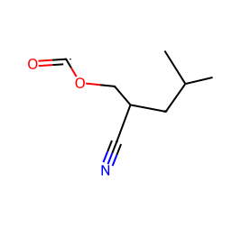 CC(C)CC(C#N)CO[C]=O